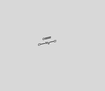 C=O.[Cl][Mg][Cl]